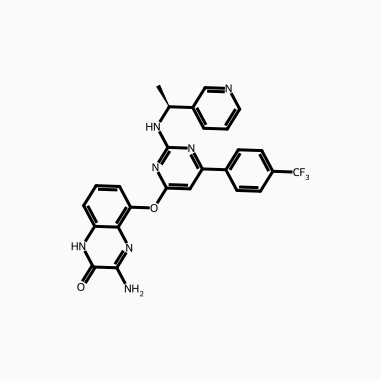 C[C@H](Nc1nc(Oc2cccc3[nH]c(=O)c(N)nc23)cc(-c2ccc(C(F)(F)F)cc2)n1)c1cccnc1